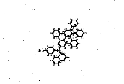 CC(C)(C)c1ccc(N(c2ccc3c(c2)c2ccccc2c2c(-c4ccccc4)c(C4=CCCC=C4)cc(-c4ccccc4)c32)c2cccc3ccccc23)cc1